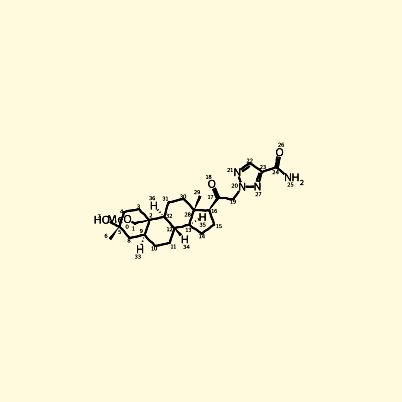 COC[C@]12CC[C@@](C)(O)C[C@@H]1CC[C@H]1[C@@H]3CC[C@H](C(=O)Cn4ncc(C(N)=O)n4)[C@@]3(C)CC[C@@H]12